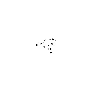 CC(C)[CH2][AlH2].CC[CH2][AlH2].Cl.I.I